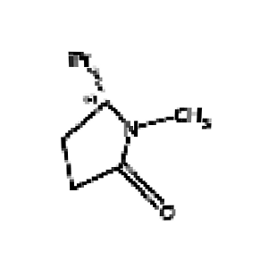 CC(C)[C@H]1CCC(=O)N1C